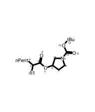 CCCCCC(CC)C(=O)OC1CCN(C(=O)OC(C)(C)C)C1